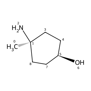 C[C@]1(N)CC[C@@H](O)CC1